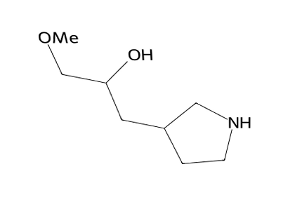 COCC(O)CC1CCNC1